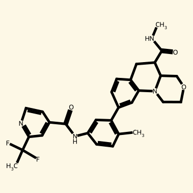 CNC(=O)C1Cc2ccc(-c3cc(NC(=O)c4ccnc(C(C)(F)F)c4)ccc3C)cc2N2CCOCC12